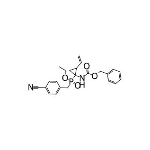 C=CC1CC1(NC(=O)OCc1ccccc1)P(=O)(Cc1ccc(C#N)cc1)OCC